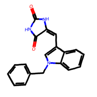 O=C1NC(=O)C(=Cc2cn(Cc3ccccc3)c3ccccc23)N1